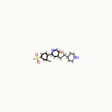 Cc1cc(S(C)(=O)=O)ccc1-c1cc2c(cn1)OC(C1CCNCC1)C2